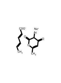 CC(=O)C1C(=O)C=C(C)OC1=O.CC=CC=CC(=O)[O-].[Na+]